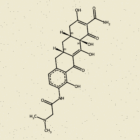 CN(C)CC(=O)Nc1ccc2c(c1O)C(=O)C1=C(O)[C@@]3(O)C(=O)C(C(N)=O)=C(O)C[C@H]3C[C@H]1C2